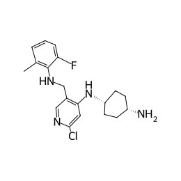 Cc1cccc(F)c1NCc1cnc(Cl)cc1N[C@H]1CC[C@@H](N)CC1